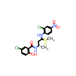 C[SH]=C(C[C@H](C)NC(=O)c1cc(Cl)ccc1O)Nc1ccc([N+](=O)[O-])cc1Cl